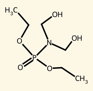 CCOP(=O)(OCC)N(CO)CO